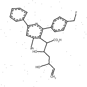 C=CC(O)CC(O)C(C(=O)O)c1c(C(C)C)cc(-c2ccccc2)nc1-c1ccc(CF)cc1